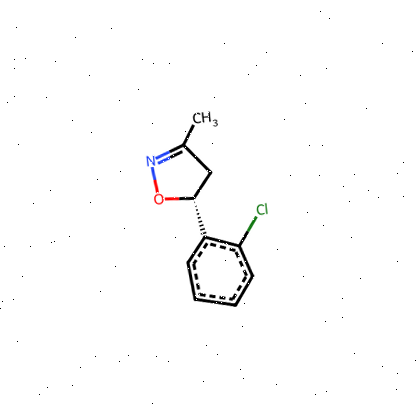 CC1=NO[C@@H](c2ccccc2Cl)C1